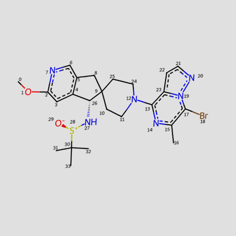 COc1cc2c(cn1)CC1(CCN(c3nc(C)c(Br)n4nccc34)CC1)[C@@H]2N[S@+]([O-])C(C)(C)C